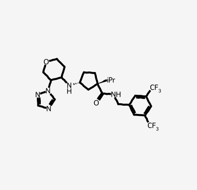 CC(C)[C@]1(C(=O)NCc2cc(C(F)(F)F)cc(C(F)(F)F)c2)CC[C@@H](NC2CCOCC2n2cncn2)C1